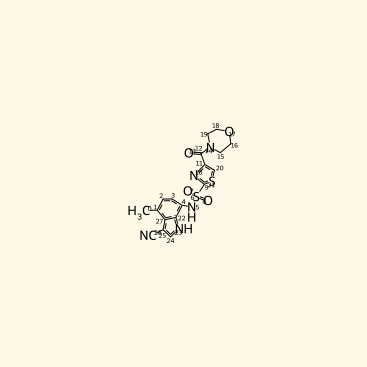 Cc1ccc(NS(=O)(=O)c2nc(C(=O)N3CCOCC3)cs2)c2[nH]cc(C#N)c12